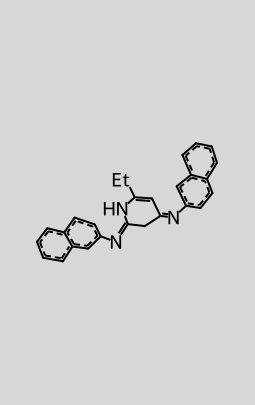 CCC1=CC(=Nc2ccc3ccccc3c2)CC(=Nc2ccc3ccccc3c2)N1